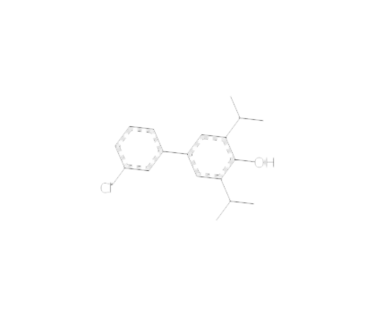 CC(C)c1cc(-c2cccc(Cl)c2)cc(C(C)C)c1O